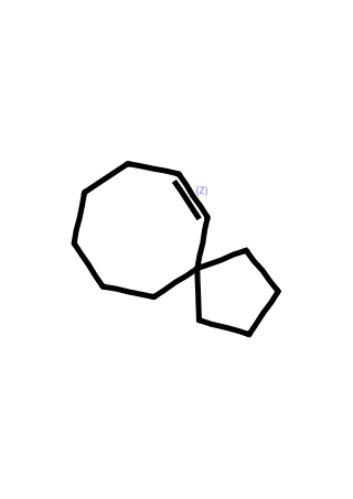 C1=C\C2(CCCCC/1)CCCC2